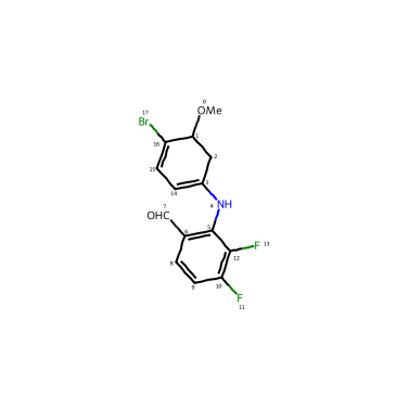 COC1CC(Nc2c(C=O)ccc(F)c2F)=CC=C1Br